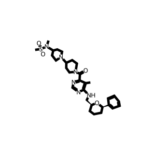 Cc1c(NC[C@@H]2CCC[C@H](c3ccccc3)O2)ncnc1C(=O)N1CCC(N2CCC(N(C)S(C)(=O)=O)CC2)CC1